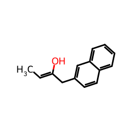 CC=C(O)Cc1ccc2ccccc2c1